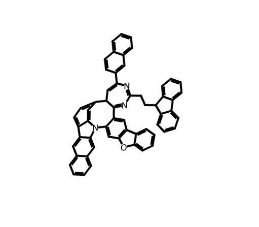 C1=C(c2ccc3ccccc3c2)N=C(CCC2c3ccccc3-c3ccccc32)N=C2c3cc4c(cc3-n3c5cc(ccc5c5cc6ccccc6cc53)C12)oc1ccccc14